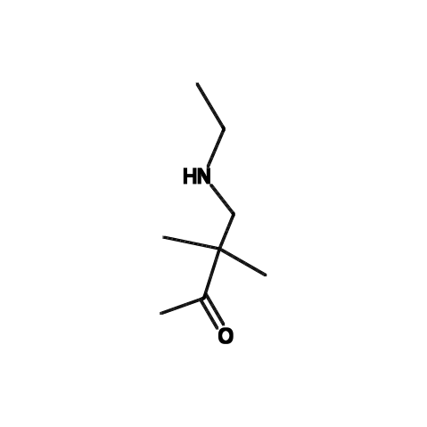 CCNCC(C)(C)C(C)=O